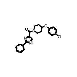 O=C(c1c[nH]c(-c2ccccc2)n1)N1CCC(Oc2ccc(Cl)cc2)CC1